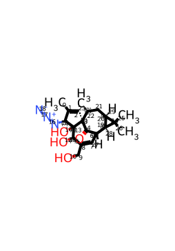 CC1=C[C@]23C(=O)[C@@H](C=C(CO)[C@@H](O)[C@]2(O)[C@H]1N=[N+]=[N-])[C@H]1[C@@H](C[C@H]3C)C1(C)C